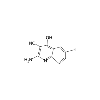 N#Cc1c(N)nc2ccc(I)cc2c1O